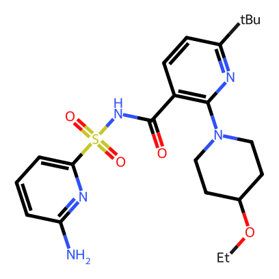 CCOC1CCN(c2nc(C(C)(C)C)ccc2C(=O)NS(=O)(=O)c2cccc(N)n2)CC1